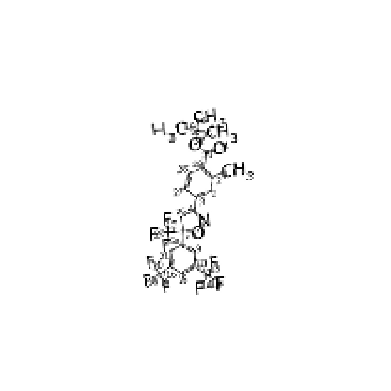 Cc1cc(C2=NOC(c3cc(C(F)(F)F)cc(C(F)(F)F)c3)(C(F)(F)F)C2)ccc1C(=O)OC(C)(C)C